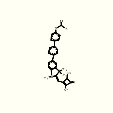 CCC(CC)Oc1ccc(-c2ccc(-c3ccc4c(c3)C(C)(C)/C(=C\C3=C(O)C(=O)C3O)N4C)cc2)cc1